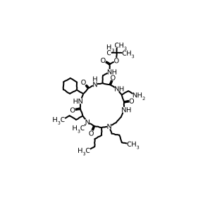 CCCCC1C(=O)N(C)C(CCC)C(=O)NC(C2CCCCC2)C(=O)NC(CNC(=O)OC(C)(C)C)C(=O)NC(CN)C(=O)NCCN1CCCC